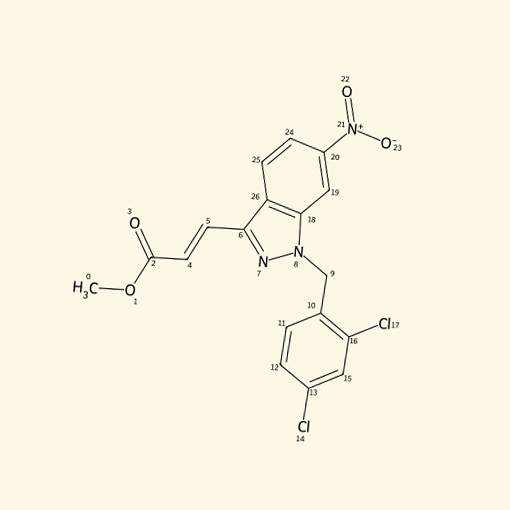 COC(=O)C=Cc1nn(Cc2ccc(Cl)cc2Cl)c2cc([N+](=O)[O-])ccc12